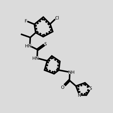 CC(NC(=S)Nc1ccc(NC(=O)c2cscn2)cc1)c1ccc(Cl)cc1F